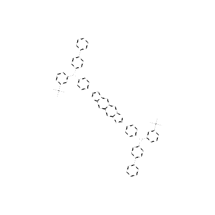 CC(C)(C)c1cccc(N(c2ccc(-c3ccccc3)cc2)c2ccc(-c3cc4cc5cc6oc(-c7ccc(N(c8ccc(-c9ccccc9)cc8)c8cccc(C(C)(C)C)c8)cc7)cc6cc5cc4o3)cc2)c1